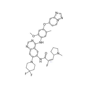 COc1cc(Oc2ccn3ncnc3c2)c(C)cc1Nc1ncnc2cc(N3CCC(F)(F)CC3)c(NC(=O)/C(F)=C\C3CCCN3C)cc12